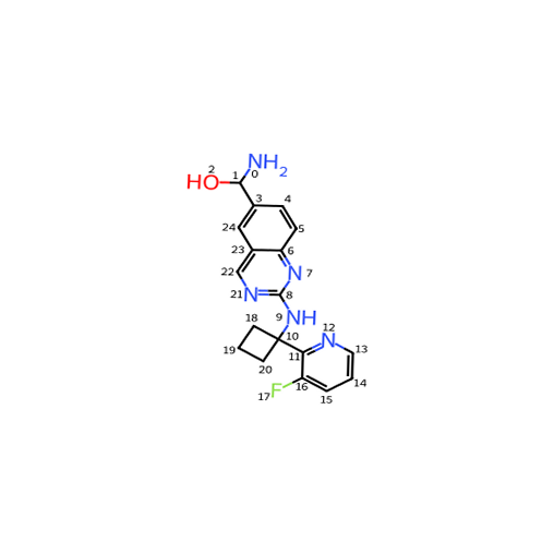 NC(O)c1ccc2nc(NC3(c4ncccc4F)CCC3)ncc2c1